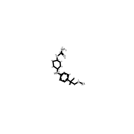 CCOCC(C)(C)c1ccc(NC2CCC(OC(N)=O)CC2)cc1